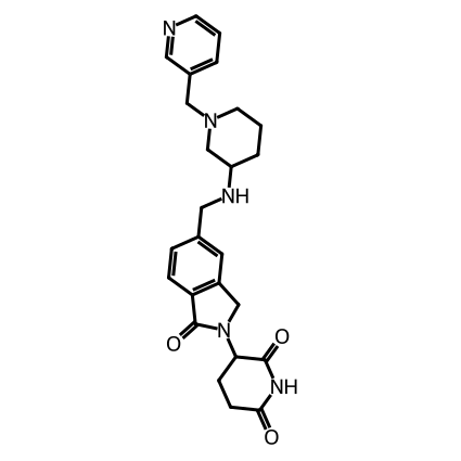 O=C1CCC(N2Cc3cc(CNC4CCCN(Cc5cccnc5)C4)ccc3C2=O)C(=O)N1